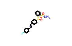 NS(=O)(=O)c1ccccc1[S+]([O-])c1ccc(/C=C/c2ccc(F)cc2)cc1